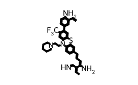 C=Cc1cc(-c2cc3c(cc2C(F)(F)F)N(CCN2CCCCC2)c2ccc(/C=C/C=C(N)\C(C=N)=C/C)cc2S3)ccc1N